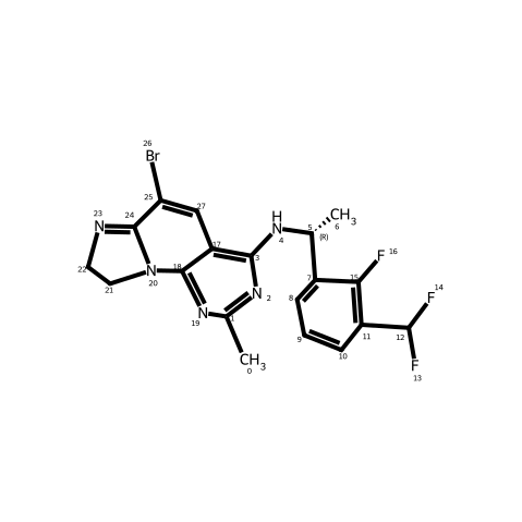 Cc1nc(N[C@H](C)c2cccc(C(F)F)c2F)c2c(n1)N1CCN=C1C(Br)=C2